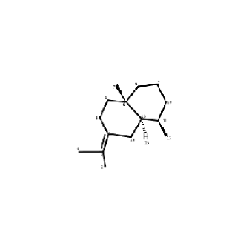 CC(C)=C1CC[C@]2(C)CCC[C@@H](C)[C@H]2C1